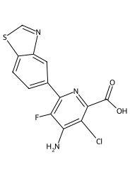 Nc1c(F)c(-c2ccc3scnc3c2)nc(C(=O)O)c1Cl